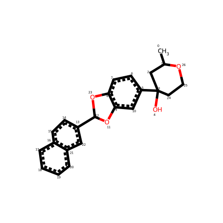 CC1CC(O)(c2ccc3c(c2)OC(c2ccc4ccccc4c2)O3)CCO1